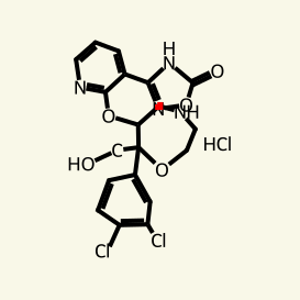 Cl.O=c1[nH]c(-c2cccnc2OC2CNCCOC2(CO)c2ccc(Cl)c(Cl)c2)no1